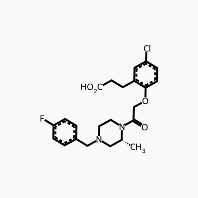 C[C@@H]1CN(Cc2ccc(F)cc2)CCN1C(=O)COc1ccc(Cl)cc1CCC(=O)O